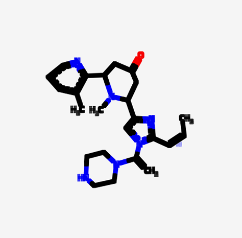 C=C(N1CCNCC1)n1cc(C2CC(=O)CC(c3ncccc3C)N2C)nc1/C=C\C